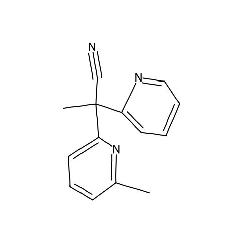 Cc1cccc(C(C)(C#N)c2ccccn2)n1